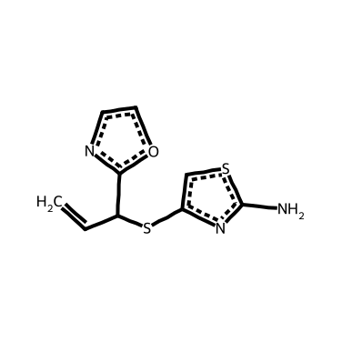 C=CC(Sc1csc(N)n1)c1ncco1